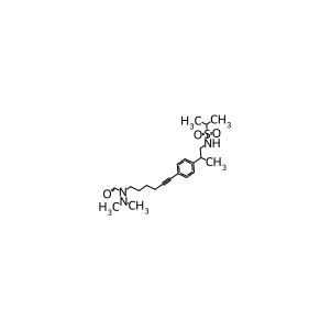 CC(CNS(=O)(=O)C(C)C)c1ccc(C#CCCCCN(C=O)N(C)C)cc1